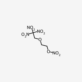 O=[N+]([O-])OCCOCC([N+](=O)[O-])([N+](=O)[O-])[N+](=O)[O-]